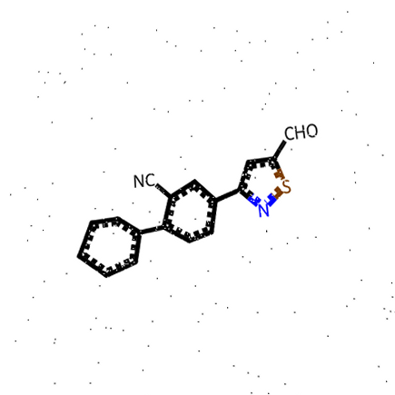 N#Cc1cc(-c2cc(C=O)sn2)ccc1-c1ccccc1